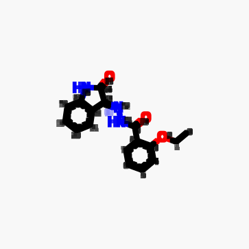 CCOc1ccccc1C(=O)N/N=C1/C(=O)Nc2ccccc21